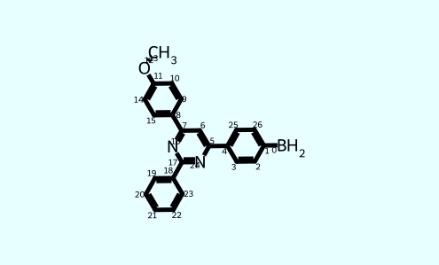 Bc1ccc(-c2cc(-c3ccc(OC)cc3)nc(-c3ccccc3)n2)cc1